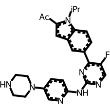 CC(=O)c1cc2cc(-c3nc(Nc4ccc(N5CCNCC5)cn4)ncc3F)ccc2n1C(C)C